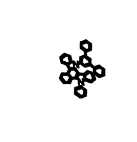 c1ccc(-c2cc(-c3ccccc3)cc(-n3c4ccccc4c4c5ccccc5c5c(c6ccccc6n5-c5ccccc5)c43)c2)cc1